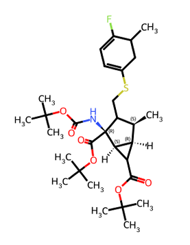 CC1CC(SCC2[C@@H](C)[C@H]3C(C(=O)OC(C)(C)C)[C@H]3[C@]2(NC(=O)OC(C)(C)C)C(=O)OC(C)(C)C)=CC=C1F